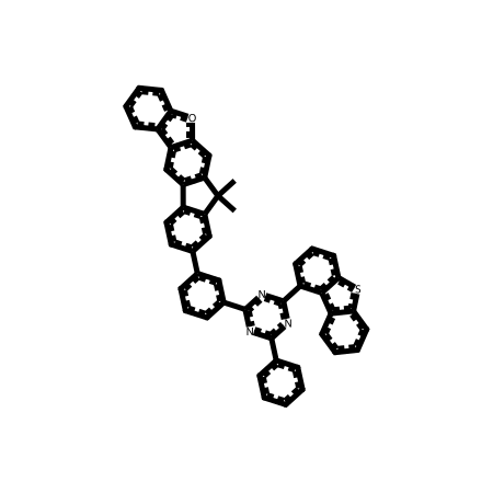 CC1(C)c2cc(-c3cccc(-c4nc(-c5ccccc5)nc(-c5cccc6sc7ccccc7c56)n4)c3)ccc2-c2cc3c(cc21)oc1ccccc13